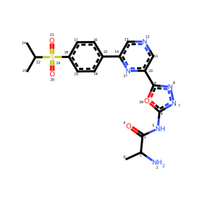 CC(N)C(=O)Nc1nnc(-c2cncc(-c3ccc(S(=O)(=O)C(C)C)cc3)n2)o1